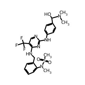 CN(C)C(O)c1ccc(Nc2ncc(C(F)(F)F)c(NCc3ccccc3N(C)S(C)(=O)=O)n2)cc1